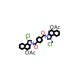 CC(=O)Oc1cc2c(c3ccccc13)[C@H](CCl)CN2C(=O)c1ccc(C(=O)N2C[C@@H](CCl)c3c2cc(OC(C)=O)c2ccccc32)cc1